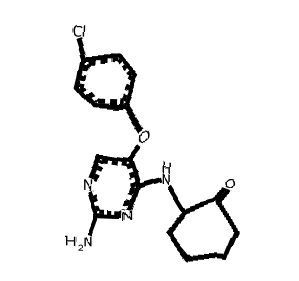 Nc1ncc(Oc2ccc(Cl)cc2)c(NC2CCCCC2=O)n1